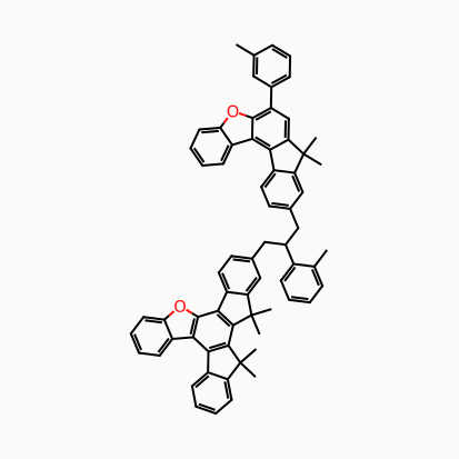 Cc1cccc(-c2cc3c(c4c2oc2ccccc24)-c2ccc(CC(Cc4ccc5c(c4)C(C)(C)c4c6c(c7c(oc8ccccc87)c4-5)-c4ccccc4C6(C)C)c4ccccc4C)cc2C3(C)C)c1